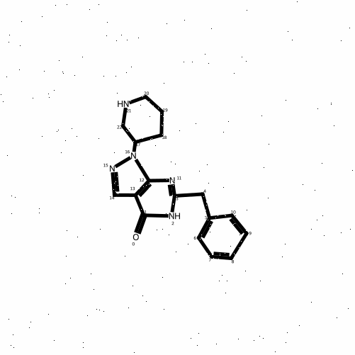 O=c1[nH]c(Cc2ccccc2)nc2c1cnn2C1CCCNC1